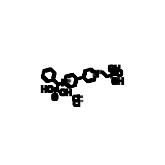 O=P(O)(O)CC[n+]1ccc(-c2cc[n+](C(c3ccccc3)P(=O)(O)O)cc2)cc1.[Cl-].[Cl-]